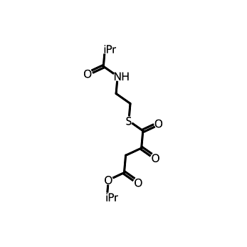 CC(C)OC(=O)CC(=O)C(=O)SCCNC(=O)C(C)C